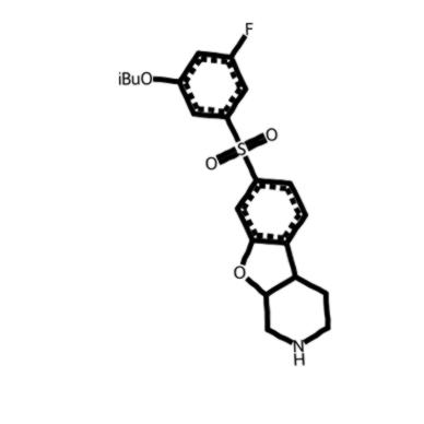 CC(C)COc1cc(F)cc(S(=O)(=O)c2ccc3c(c2)OC2CNCCC32)c1